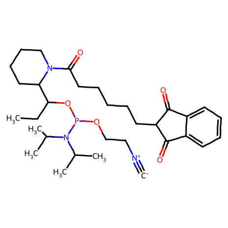 [C-]#[N+]CCOP(OC(CC)C1CCCCN1C(=O)CCCCCC1C(=O)c2ccccc2C1=O)N(C(C)C)C(C)C